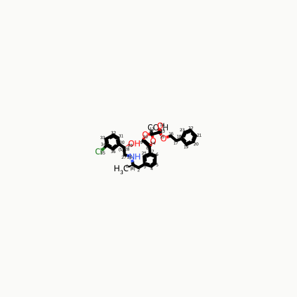 C[C@H](Cc1cccc(C2=COC(C(=O)O)(C(=O)OCCc3ccccc3)O2)c1)NC[C@@H](O)c1cccc(Cl)c1